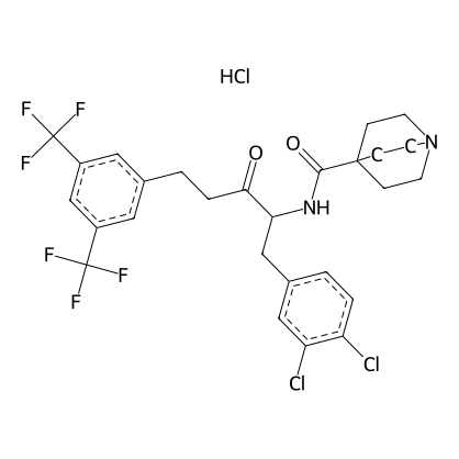 Cl.O=C(CCc1cc(C(F)(F)F)cc(C(F)(F)F)c1)C(Cc1ccc(Cl)c(Cl)c1)NC(=O)C12CCN(CC1)CC2